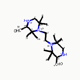 CC1(C)CNC(C=O)C(C)(C)N1CCN1C(C)(C)CNC(C=O)C1(C)C